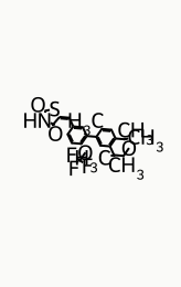 Cc1cc2c(cc1-c1cc(/C=C3/SC(=O)NC3=O)ccc1OC(F)(F)F)C(C)(C)COC2(C)C